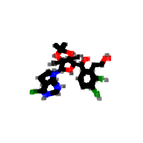 CC1(C)O[C@@H]2[C@H](O1)[C@@H](C(O)c1ccc(Cl)c(F)c1CCO)O[C@H]2n1ccc2c(Cl)ncnc21